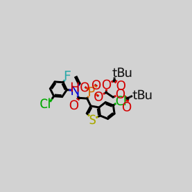 C=CN(C(=O)C(c1csc2ccc(Cl)cc12)P(=O)(O)OC(COC(=O)C(C)(C)C)OC(=O)C(C)(C)C)c1cc(Cl)ccc1F